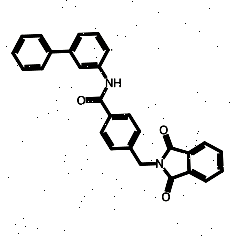 O=C(Nc1[c]ccc(-c2ccccc2)c1)c1ccc(CN2C(=O)c3ccccc3C2=O)cc1